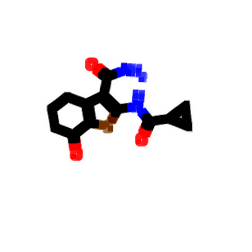 NC(=O)c1c(NC(=O)C2CC2)sc2c1CCCC2=O